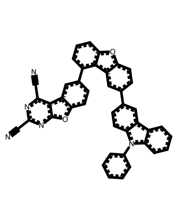 N#Cc1nc(C#N)c2c(n1)oc1ccc(-c3cccc4oc5ccc(-c6ccc7c(c6)c6ccccc6n7-c6ccccc6)cc5c34)cc12